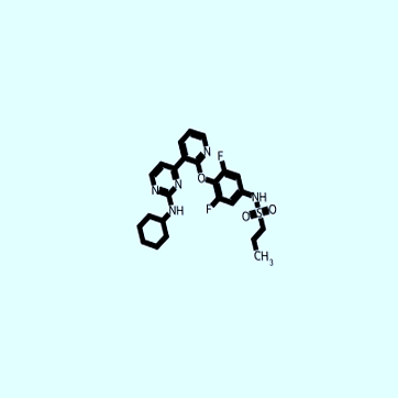 CCCS(=O)(=O)Nc1cc(F)c(Oc2ncccc2-c2ccnc(NC3CCCCC3)n2)c(F)c1